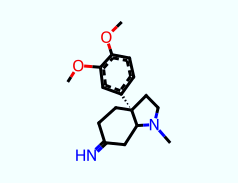 COc1ccc([C@@]23CCC(=N)CC2N(C)CC3)cc1OC